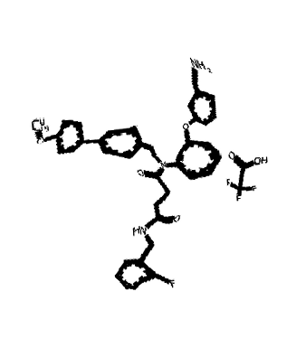 COc1ccc(-c2ccc(CN(C(=O)CCC(=O)NCc3ccccc3F)c3ccccc3Oc3cccc(CN)c3)cc2)cc1.O=C(O)C(F)(F)F